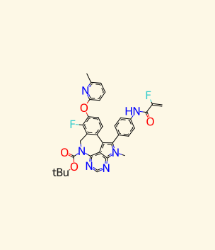 C=C(F)C(=O)Nc1ccc(-c2c3c4c(ncnc4n2C)N(C(=O)OC(C)(C)C)Cc2c-3ccc(Oc3cccc(C)n3)c2F)cc1